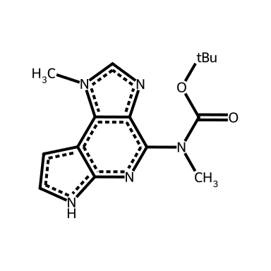 CN(C(=O)OC(C)(C)C)c1nc2[nH]ccc2c2c1ncn2C